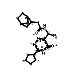 CCC(NC(=O)CC1CC2CCC1C2)c1nnc(C2CCCC2)[nH]c1=O